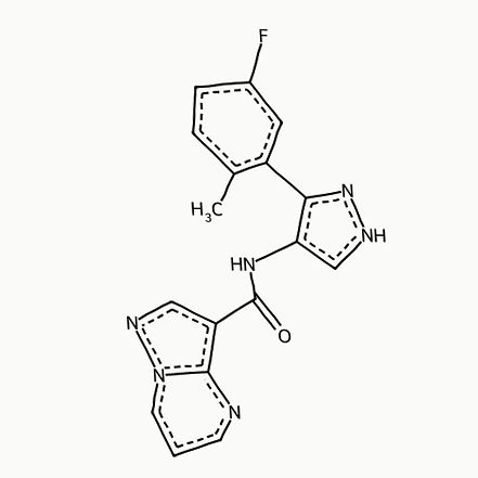 Cc1ccc(F)cc1-c1n[nH]cc1NC(=O)c1cnn2cccnc12